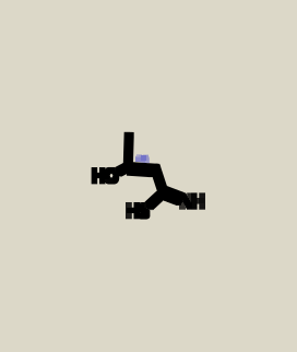 C/C(O)=C/C(=N)S